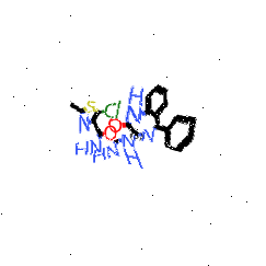 Cc1nc(C(=N)OC(=N)N[C@H]2N=C(c3ccccc3)c3ccccc3NC2=O)c(Cl)s1